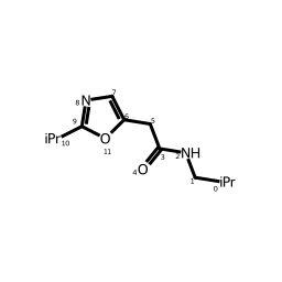 CC(C)CNC(=O)Cc1cnc(C(C)C)o1